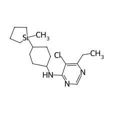 CCc1ncnc(NC2CCC([Si]3(C)CCCC3)CC2)c1Cl